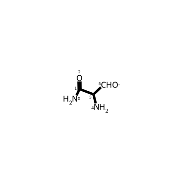 NC(=O)C(N)[C]=O